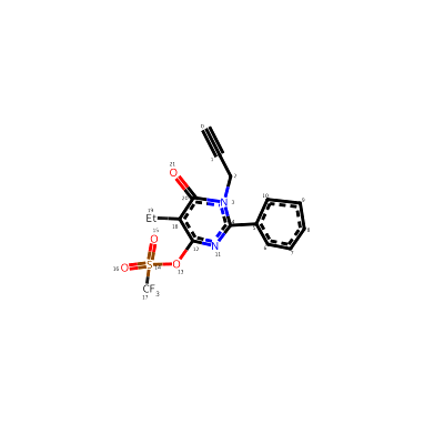 C#CCn1c(-c2ccccc2)nc(OS(=O)(=O)C(F)(F)F)c(CC)c1=O